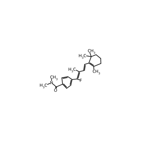 CC1=C(/C=C/C(C)=C(\F)c2ccc(C(=O)N(C)C)cc2)C(C)(C)CCC1